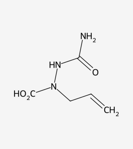 C=CCN(NC(N)=O)C(=O)O